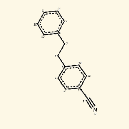 N#Cc1ccc([CH]Cc2ccccc2)cc1